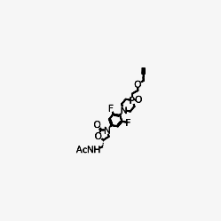 C#CCOCCP1(=O)CCN(c2c(F)cc(N3C[C@H](CNC(C)=O)OC3=O)cc2F)CC1